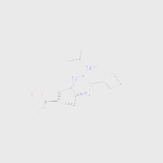 CC(C)N(C)c1nc2cc(C(=O)O)ccc2nc1-c1ccco1